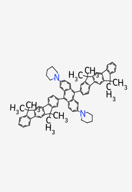 CC1(C)c2ccccc2-c2cc3c(cc21)-c1ccc(-c2c4ccc(N5CCCCC5)cc4c(-c4ccc5c(c4)C(C)(C)c4cc6c(cc4-5)C(C)(C)c4ccccc4-6)c4ccc(N5CCCCC5)cc24)cc1C3(C)C